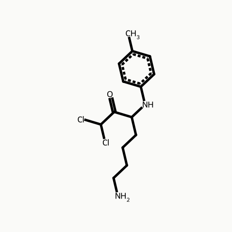 Cc1ccc(NC(CCCCN)C(=O)C(Cl)Cl)cc1